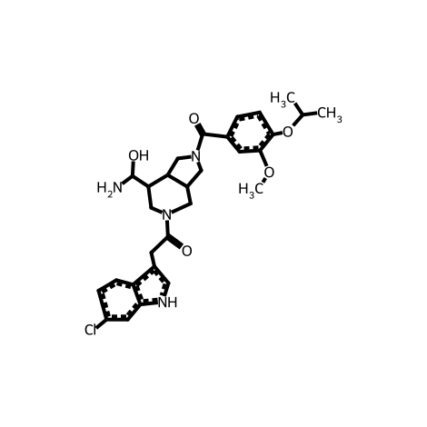 COc1cc(C(=O)N2CC3CN(C(=O)Cc4c[nH]c5cc(Cl)ccc45)CC(C(N)O)C3C2)ccc1OC(C)C